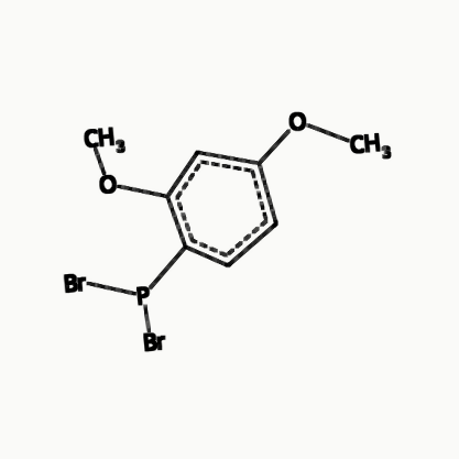 COc1ccc(P(Br)Br)c(OC)c1